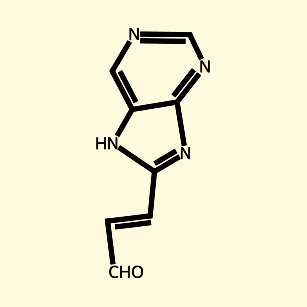 O=CC=Cc1nc2ncncc2[nH]1